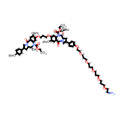 COc1ccc(C2=CN3C(=O)c4cc(OC)c(OCCCOc5cc6c(cc5OC)C(=O)N5C=C(c7ccc(OCCOCCCOCCCOCCCOCCCOCCN)cc7)CC5[C@@H](O[Si](C)(C)C(C)(C)C)N6C(=O)OCC(Cl)(Cl)Cl)cc4N(C(=O)OCC(Cl)(Cl)Cl)[C@H](C)C3C2)cc1